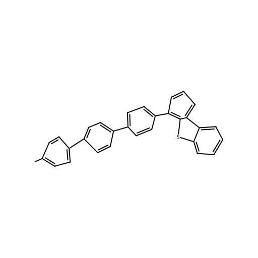 Cc1ccc(-c2ccc(-c3ccc(-c4cccc5c4sc4ccccc45)cc3)cc2)cc1